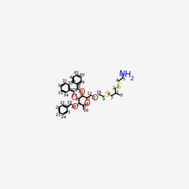 CC(CSCCN)CSCCOCC1OC(C)C(OCc2ccccc2)C(OCc2ccccc2)C1OCc1ccccc1